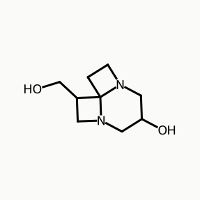 OCC1CN2CC(O)CN3CCC132